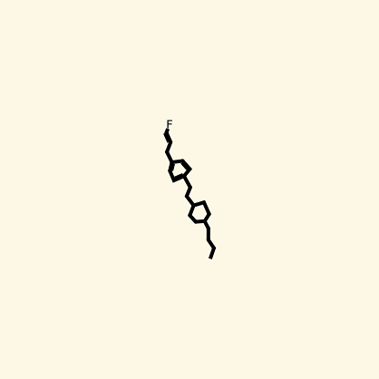 CCCCC1CCC(CCc2ccc(C/C=C/F)cc2)CC1